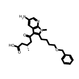 C[C@H](CC(=O)O)CC(=O)c1c(CCCCOCc2ccccc2)n(C)c2ncc(N)cc12